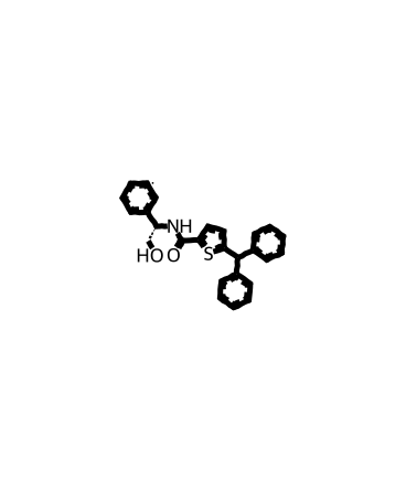 O=C(N[C@H](CO)c1c[c]ccc1)c1ccc(C(c2ccccc2)c2ccccc2)s1